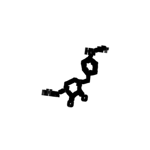 CCCCCCN1CCN(Cc2ccc(NCCC)cc2)C(=O)C1=O